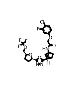 O=C(COc1ccc(Cl)c(F)c1)NC12CC(C1)[C@@H](c1nnc([C@H]3CC[C@@H](COC(F)(F)F)O3)o1)C2